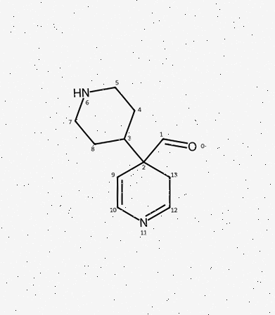 O=CC1(C2CCNCC2)C=CN=CC1